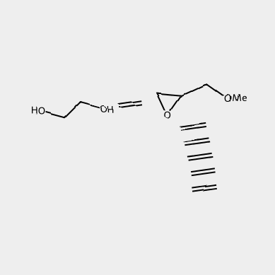 C=C.C=C.C=C.C=C.C=C.C=C.COCC1CO1.OCCO